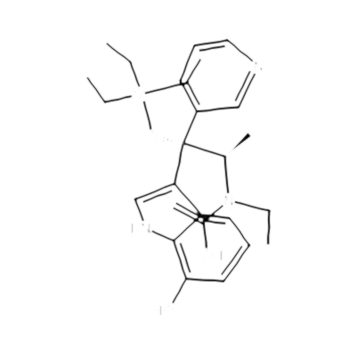 CCN(C(=O)O)[C@H](C)[C@](O[Si](CC)(CC)CC)(c1cccnc1)c1c[nH]c2c(O)cccc12